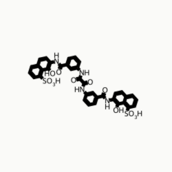 O=C(Nc1cccc(C(=O)Nc2ccc3cccc(S(=O)(=O)O)c3c2O)c1)C(=O)Nc1cccc(C(=O)Nc2ccc3cccc(S(=O)(=O)O)c3c2O)c1